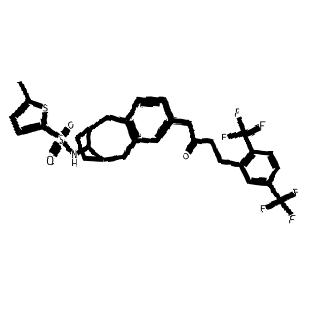 Cc1ccc(S(=O)(=O)NC2C3CCC2Cc2cc(CC(=O)CCc4cc(C(F)(F)F)ccc4C(F)(F)F)ccc2C3)s1